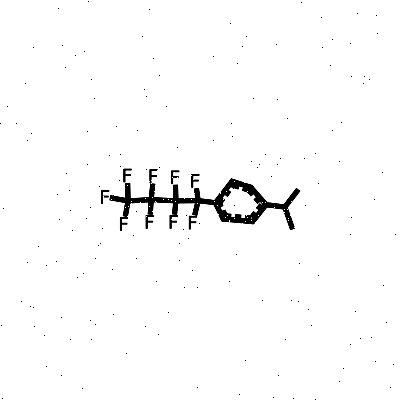 C[C](C)c1ccc(C(F)(F)C(F)(F)C(F)(F)C(F)(F)F)cc1